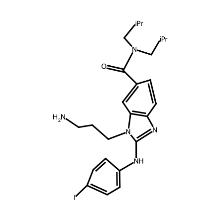 CC(C)CN(CC(C)C)C(=O)c1ccc2nc(Nc3ccc(I)cc3)n(CCCN)c2c1